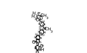 CN(C1CCN(C(=O)OC(C)(C)C)CC1)C1CCN(c2ccc3c(c2)CN(C2CCC(=O)NC2=O)C3=O)CC1